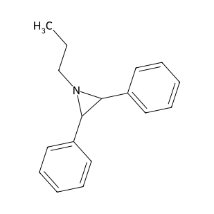 CCCN1C(c2ccccc2)C1c1ccccc1